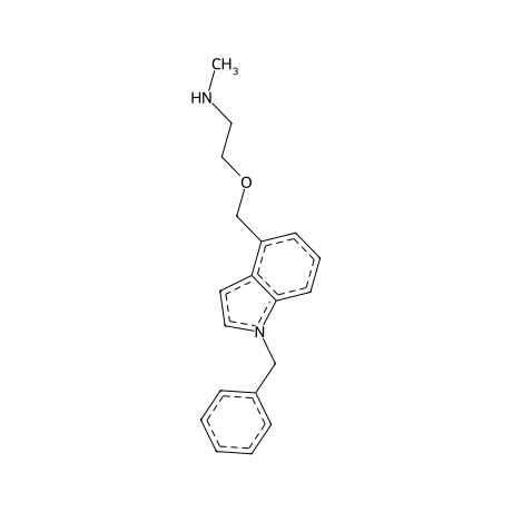 CNCCOCc1cccc2c1ccn2Cc1ccccc1